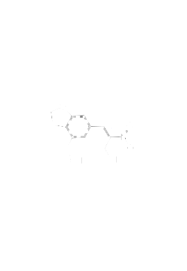 COc1cc(/C=C(\CO)[N+](=O)[O-])cc2c1OCO2